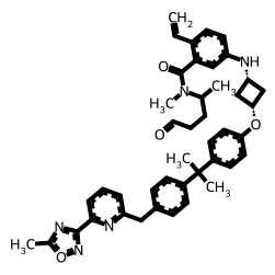 C=Cc1ccc(N[C@H]2C[C@@H](Oc3ccc(C(C)(C)c4ccc(Cc5cccc(-c6noc(C)n6)n5)cc4)cc3)C2)cc1C(=O)N(C)C(C)CCC=O